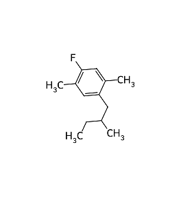 CCC(C)Cc1cc(C)c(F)cc1C